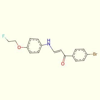 O=C(C=CNc1ccc(OCCF)cc1)c1ccc(Br)cc1